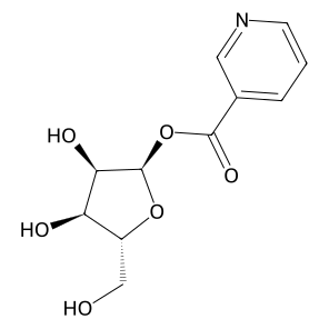 O=C(O[C@H]1O[C@H](CO)[C@@H](O)[C@H]1O)c1cccnc1